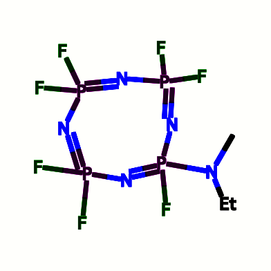 CCN(C)P1(F)=NP(F)(F)=NP(F)(F)=NP(F)(F)=N1